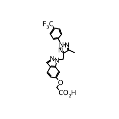 Cc1nn(-c2ccc(C(F)(F)F)cc2)nc1Cn1ncc2ccc(OCC(=O)O)cc21